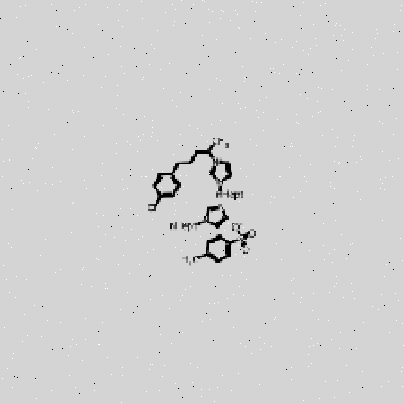 CCCCCCCn1cc[n+](C(C)CCCc2ccc(Cl)cc2)c1.CCCCCCCn1ccnc1.Cc1ccc(S(=O)(=O)[O-])cc1